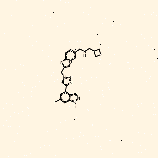 Ic1cc(-c2cn(Cc3cn4cc(CNCC5CCC5)ccc4n3)nn2)c2cn[nH]c2c1